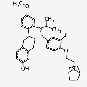 COc1ccc(C2CCc3cc(O)ccc3C2)c(N(Cc2ccc(OCCN3C4CCC3CC4)c(F)c2)C(C)C)c1